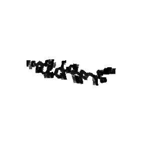 Cc1cc(C(F)(F)F)nn1CC(=O)Nc1cnc(-n2cnc(C3(O)CC(CNC(=O)OC(C)(C)C)C3)c2)c(F)c1